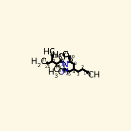 C#CCCC(CCC)CC(C=C)NC(=C)C(C)C(C#C)C=C